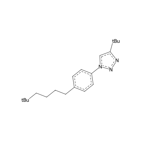 CC(C)(C)CCCCc1ccc(-n2cc(C(C)(C)C)nn2)cc1